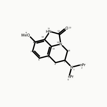 CCCN(CCC)C1Cc2ccc(OC)c3[nH]c(=O)n(c23)C1